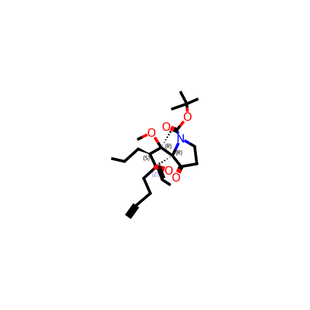 C#CCCC(=O)[C@@H](CCC)[C@@](C)(OC)[C@]1(/C=C\C)C(=O)CCN1C(=O)OC(C)(C)C